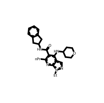 CCCc1nc2c(cnn2CC)c(NC2CCOCC2)c1C(=O)NC1Cc2ccccc2C1